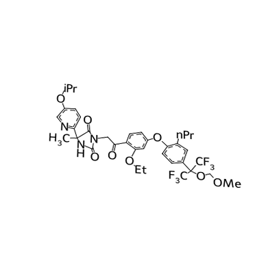 CCCc1cc(C(OCOC)(C(F)(F)F)C(F)(F)F)ccc1Oc1ccc(C(=O)CN2C(=O)NC(C)(c3ccc(OC(C)C)cn3)C2=O)c(OCC)c1